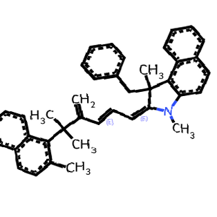 C=C(/C=C/C=C1/N(C)c2ccc3ccccc3c2C1(C)Cc1ccccc1)C(C)(C)c1c(C)ccc2ccccc12